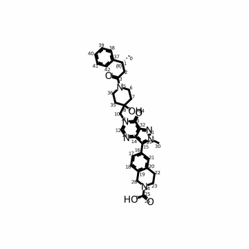 C[C@H](CC(=O)N1CCC(O)(Cn2cnc3c(-c4ccc5c(c4)CCN(C(=O)O)C5)n(C)nc3c2=O)CC1)c1ccccc1